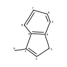 CC1=CCc2ccc[c]c21